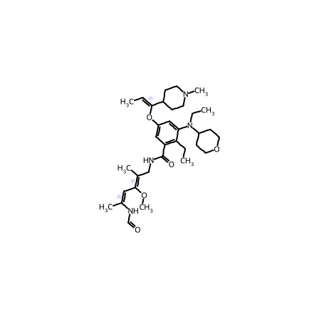 C/C=C(\Oc1cc(C(=O)NC/C(C)=C(/C=C(/C)NC=O)OC)c(CC)c(N(CC)C2CCOCC2)c1)C1CCN(C)CC1